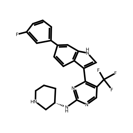 Fc1cccc(-c2ccc3c(-c4nc(N[C@H]5CCCNC5)ncc4C(F)(F)F)c[nH]c3c2)c1